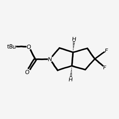 CC(C)(C)OC(=O)N1C[C@@H]2CC(F)(F)C[C@@H]2C1